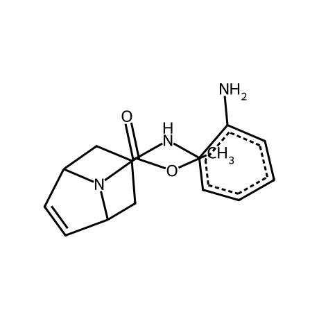 COC(=O)N1C2C=CC1CC(Nc1ccccc1N)C2